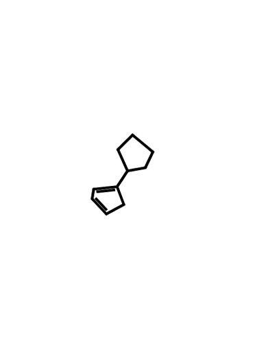 C1=CCC(C2CCCC2)=C1